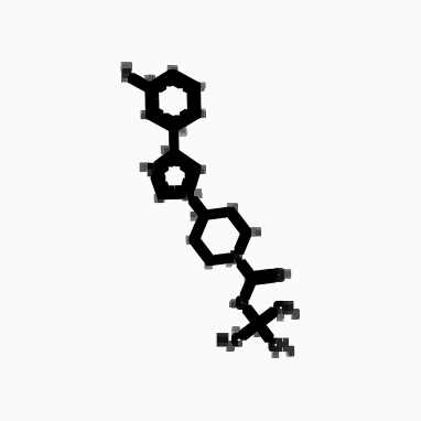 CC(C)(C)OC(=O)N1CCC(n2cnc(-c3cccc(F)c3)c2)CC1